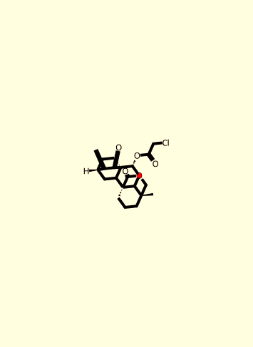 C=C1C(=O)[C@]23CC[C@H]1CC2[C@@]12CCC[C@@](C)(COC1=O)C2C[C@H]3OC(=O)CCl